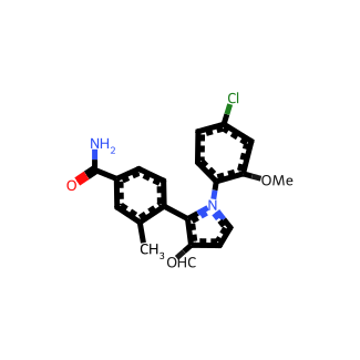 COc1cc(Cl)ccc1-n1ccc(C=O)c1-c1ccc(C(N)=O)cc1C